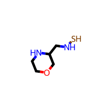 SNCC1COCCN1